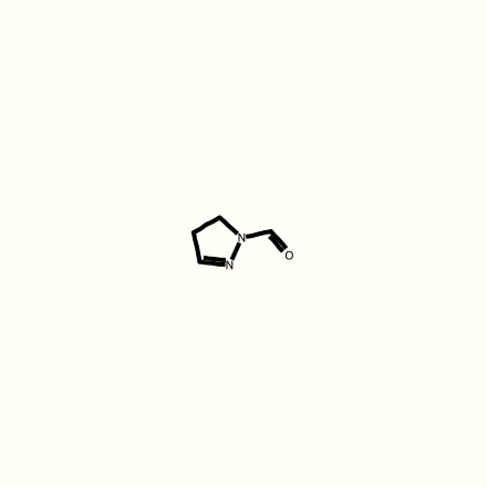 O=CN1CCC=N1